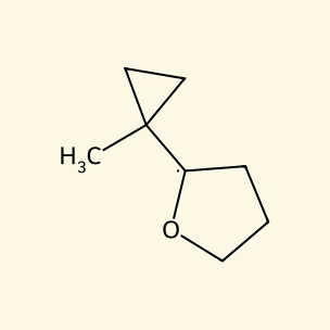 CC1([C]2CCCO2)CC1